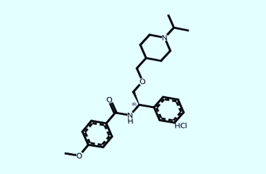 COc1ccc(C(=O)N[C@@H](COCC2CCN(C(C)C)CC2)c2ccccc2)cc1.Cl